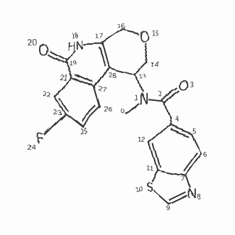 CN(C(=O)c1ccc2ncsc2c1)C1COCc2[nH]c(=O)c3cc(F)ccc3c21